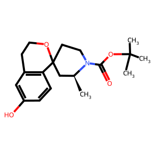 C[C@H]1CC2(CCN1C(=O)OC(C)(C)C)OCCc1cc(O)ccc12